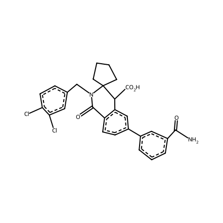 NC(=O)c1cccc(-c2ccc3c(c2)C(C(=O)O)C2(CCCC2)N(Cc2ccc(Cl)c(Cl)c2)C3=O)c1